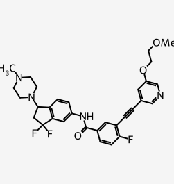 COCCOc1cncc(C#Cc2cc(C(=O)Nc3ccc4c(c3)C(F)(F)CC4N3CCN(C)CC3)ccc2F)c1